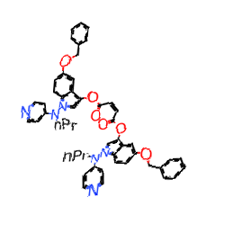 CCCN(c1ccncc1)n1cc(OC(=O)/C=C\C(=O)Oc2cn(N(CCC)c3ccncc3)c3ccc(OCc4ccccc4)cc23)c2cc(OCc3ccccc3)ccc21